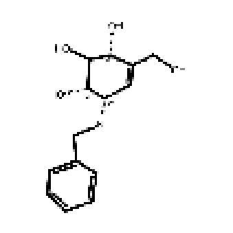 OCC1=C[C@H](NCc2ccccc2)[C@H](O)C(O)[C@@H]1O